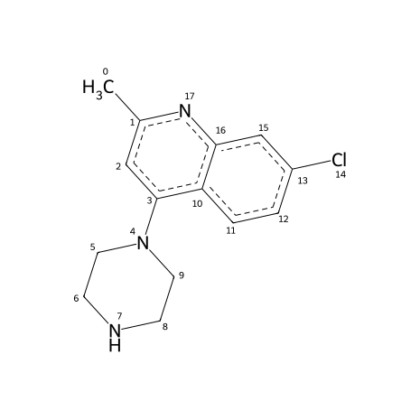 Cc1cc(N2CCNCC2)c2ccc(Cl)cc2n1